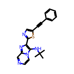 CC(C)(C)Nc1c(-c2ncc(C#Cc3ccccc3)s2)nc2cnccn12